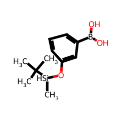 C[SiH](Oc1cccc(B(O)O)c1)C(C)(C)C